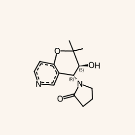 CC1(C)Oc2ccncc2[C@@H](N2CCCC2=O)[C@@H]1O